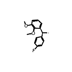 [CH2]C(c1ccc(F)cc1)c1cccc(OC)c1OC